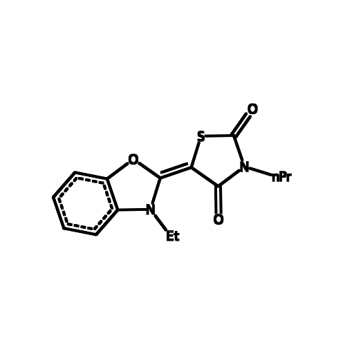 CCCN1C(=O)S/C(=C2\Oc3ccccc3N2CC)C1=O